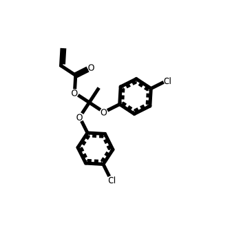 C=CC(=O)OC(C)(Oc1ccc(Cl)cc1)Oc1ccc(Cl)cc1